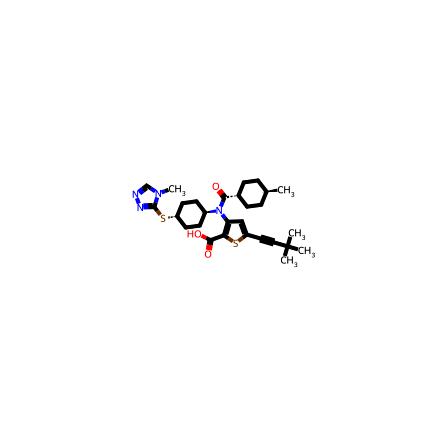 Cn1cnnc1S[C@H]1CC[C@H](N(c2cc(C#CC(C)(C)C)sc2C(=O)O)C(=O)[C@H]2CC[C@H](C)CC2)CC1